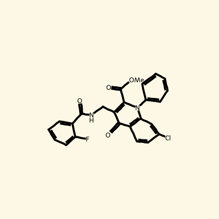 COC(=O)c1c(CNC(=O)c2ccccc2F)c(=O)c2ccc(Cl)cc2n1-c1ccccc1